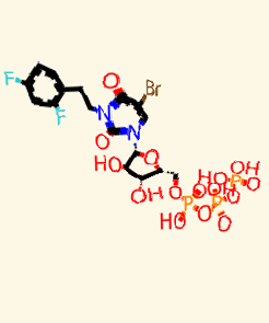 O=c1c(Br)cn([C@@H]2O[C@H](COP(=O)(O)OP(=O)(O)OP(=O)(O)O)[C@H](O)C2O)c(=O)n1CCc1ccc(F)cc1F